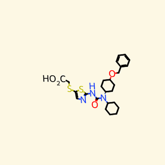 O=C(O)CSc1cnc(NC(=O)N(C2CCCCC2)[C@H]2CC[C@H](OCc3ccccc3)CC2)s1